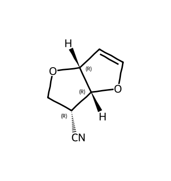 N#C[C@@H]1CO[C@@H]2C=CO[C@H]12